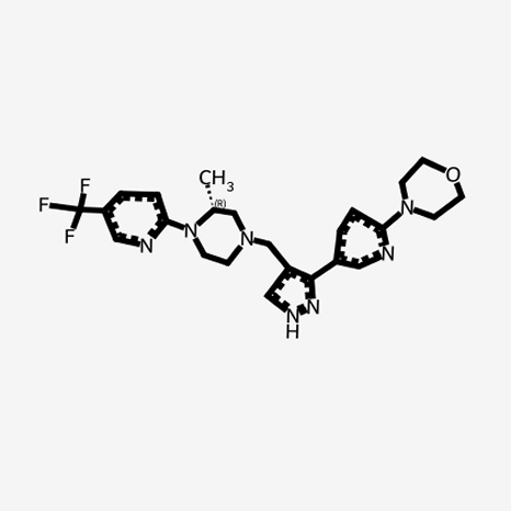 C[C@@H]1CN(Cc2c[nH]nc2-c2ccc(N3CCOCC3)nc2)CCN1c1ccc(C(F)(F)F)cn1